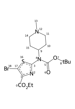 CCOC(=O)c1nc(N(C(=O)OC(C)(C)C)C2CCN(C)CC2)sc1Br